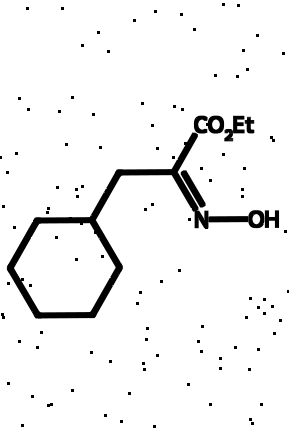 CCOC(=O)C(CC1CCCCC1)=NO